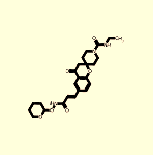 CCNC(=O)N1CCC2(CC1)CC(=O)c1cc(C=CC(=O)NOC3CCCCO3)ccc1O2